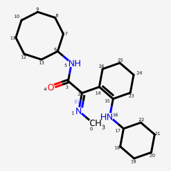 C/N=C(/C(=O)NC1CCCCCCC1)C1=C(NC2CCCCC2)CCCC1